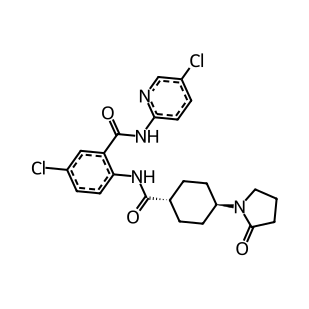 O=C(Nc1ccc(Cl)cn1)c1cc(Cl)ccc1NC(=O)[C@H]1CC[C@H](N2CCCC2=O)CC1